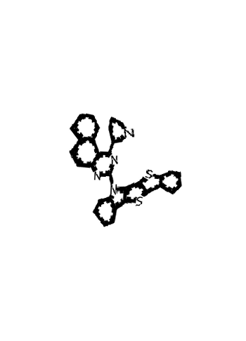 c1cncc(-c2nc(-n3c4ccccc4c4sc5c6ccccc6sc5c43)nc3ccc4ccccc4c23)c1